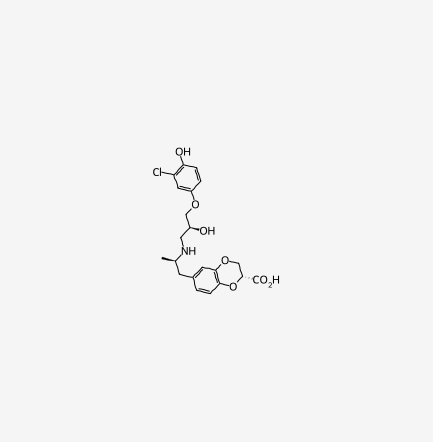 C[C@H](Cc1ccc2c(c1)OC[C@H](C(=O)O)O2)NC[C@H](O)COc1ccc(O)c(Cl)c1